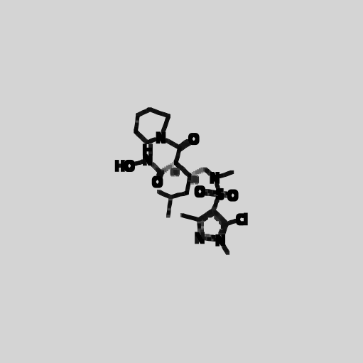 Cc1nn(C)c(Cl)c1S(=O)(=O)N(C)C[C@H](CC(C)C)[C@H](C(=O)NO)C(=O)N1CCCCC1